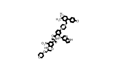 CC1(C)CCC(c2ccc(Cl)cc2)=C(CN2CCN(c3ccc(C(=O)NS(=O)(=O)c4cc5c(c([N+](=O)[O-])c4)N[C@H](COC4CCOCC4)CO5)c(Oc4cnc5[nH]ccc5c4)c3)CC2)C1